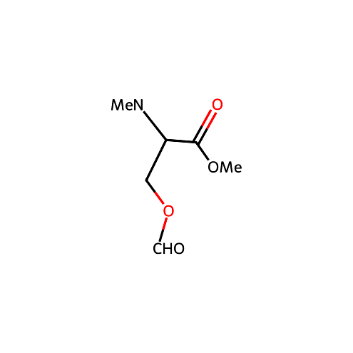 CNC(COC=O)C(=O)OC